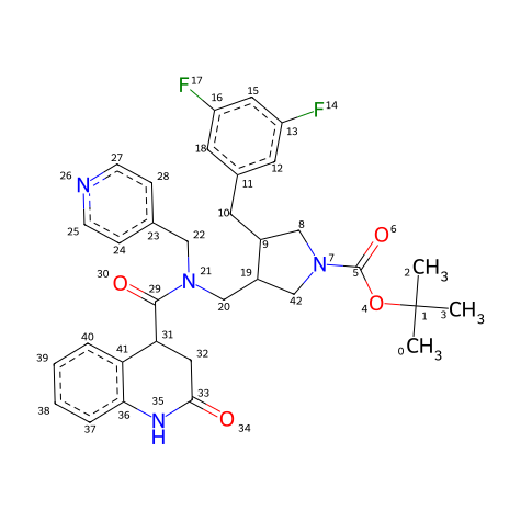 CC(C)(C)OC(=O)N1CC(Cc2cc(F)cc(F)c2)C(CN(Cc2ccncc2)C(=O)C2CC(=O)Nc3ccccc32)C1